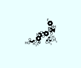 CCN(CC)CC.COc1cc2c(Oc3ccc(NC(=O)C4(C(=O)Nc5ccc(F)cc5)CC4)cc3Cl)ccnc2cc1OCCC(=O)O